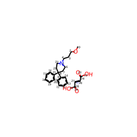 COCCCN1CCC(c2ccccc2)(c2ccccc2)CC1.O=C(O)/C=C/C(=O)O